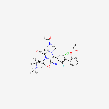 [2H]C([2H])([2H])N(C[C@@H]1CN2C(=C=O)[C@H]3CN(C(=O)C=C)[C@H](C)CN3c3c2c(nc2c(F)c(-c4c(F)cccc4OC(=O)C=C)c(Cl)cc32)O1)C([2H])([2H])[2H]